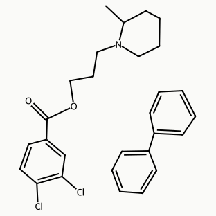 CC1CCCCN1CCCOC(=O)c1ccc(Cl)c(Cl)c1.c1ccc(-c2ccccc2)cc1